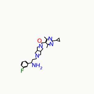 Cc1nc(C2CC2)nc(C)c1C(=O)N1CC2CN(CC[C@H](N)c3cccc(F)c3)CC2C1